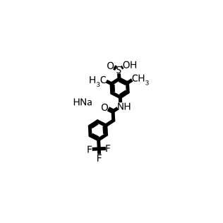 Cc1cc(NC(=O)Cc2cccc(C(F)(F)F)c2)cc(C)c1S(=O)O.[NaH]